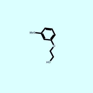 CSc1c[c]cc(OCCO)c1